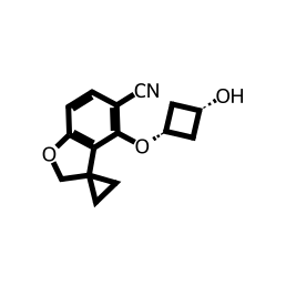 N#Cc1ccc2c(c1O[C@H]1C[C@@H](O)C1)C1(CC1)CO2